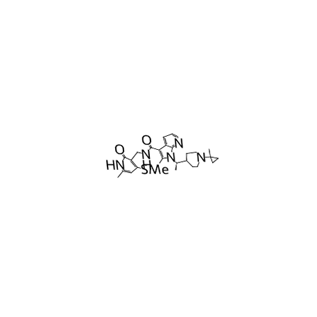 CSc1cc(C)[nH]c(=O)c1CNC(=O)c1c(C)n([C@H](C)C2CCN(C3(C)CC3)CC2)c2ncccc12